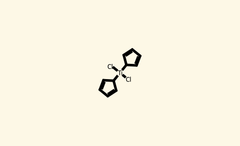 [Cl][Ti]([Cl])([CH]1C=CC=C1)[CH]1C=CC=C1